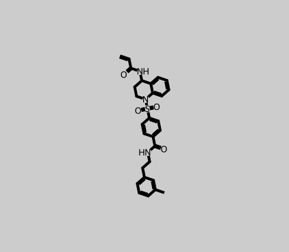 C=CC(=O)NC1CCN(S(=O)(=O)c2ccc(C(=O)NCCc3cccc(C)c3)cc2)c2ccccc21